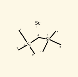 C[Si](C)(C)C[Si](C)(C)C.[Sc]